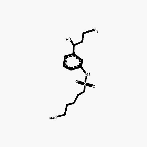 COCCCCCS(=O)(=O)Nc1cccc(C(O)CCN)c1